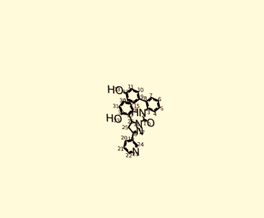 O=C(Nc1ccccc1-c1ccc(O)cc1)N1N=C(c2cccnc2)CC1c1ccccc1O